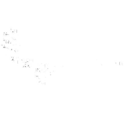 CCCCCCCCCCCCCCCCCCOC[C@H](COP(=O)(O)OC[C@H]1O[C@@](C#N)(c2ccc3c(N)ncnn23)C[C@@H]1O)Nc1ccccc1C(=O)O